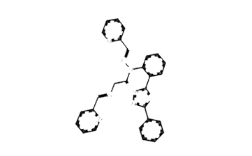 O=C(CN=Cc1ccccn1)N(N=Cc1ccccn1)c1ccccc1-c1nnc(-c2ccccc2)o1